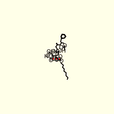 C=C(CCC12OC(C(=O)O)C(O)(C(=O)O)C(C(=O)O)(O1)C(OC(=O)OCCCCCCCCC)C2O)C(OC(C)=O)C(C)Cc1ccccc1